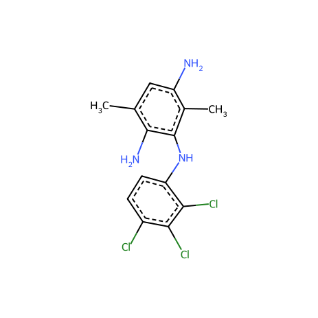 Cc1cc(N)c(C)c(Nc2ccc(Cl)c(Cl)c2Cl)c1N